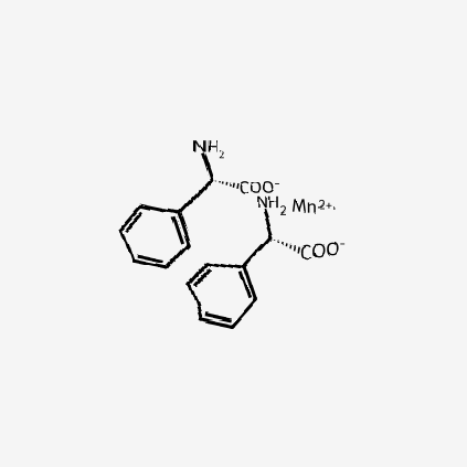 N[C@H](C(=O)[O-])c1ccccc1.N[C@H](C(=O)[O-])c1ccccc1.[Mn+2]